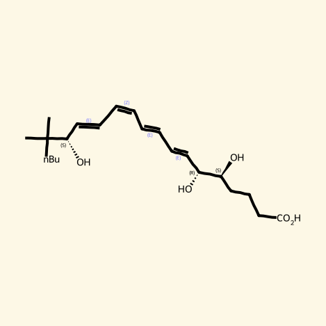 CCCCC(C)(C)[C@@H](O)/C=C/C=C\C=C\C=C\[C@@H](O)[C@@H](O)CCCC(=O)O